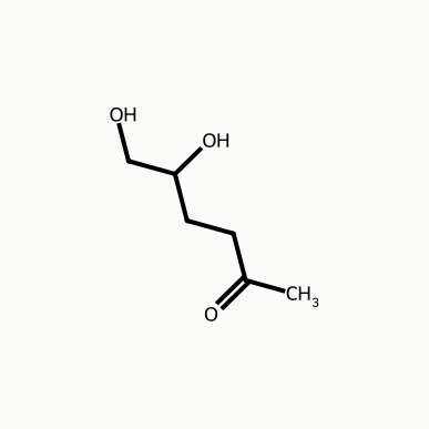 CC(=O)CCC(O)CO